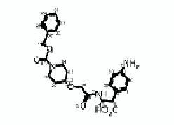 Nc1ccc(C[C@H](NC(=O)COC2CCN(C(=O)OCc3ccccc3)CC2)C(=O)O)cc1